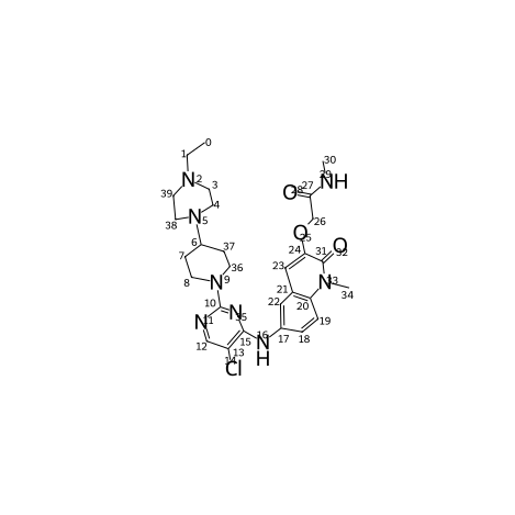 CCN1CCN(C2CCN(c3ncc(Cl)c(Nc4ccc5c(c4)cc(OCC(=O)NC)c(=O)n5C)n3)CC2)CC1